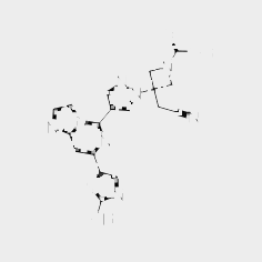 Cc1ncc(-c2cc3nccn3c(-c3cnn(C4(CC#N)CN(C(=O)O)C4)c3)n2)s1